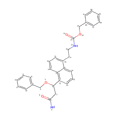 [NH]C(=O)CC(OCc1ccccc1)c1cccc2c(CCNC(=O)OCc3ccccc3)cccc12